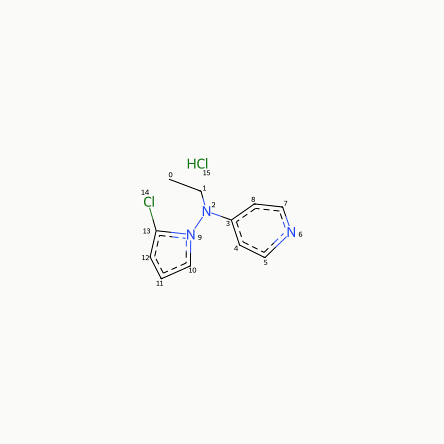 CCN(c1ccncc1)n1cccc1Cl.Cl